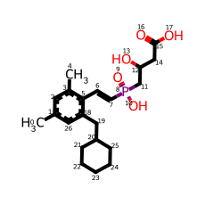 Cc1cc(C)c(C=CP(=O)(O)CC(O)CC(=O)O)c(CC2CCCCC2)c1